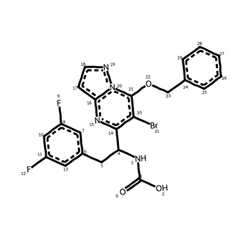 O=C(O)NC(Cc1cc(F)cc(F)c1)c1nc2ccnn2c(OCc2ccccc2)c1Br